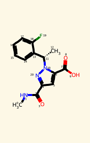 CNC(=O)c1cc(C(=O)O)n([C@@H](C)c2ccccc2F)n1